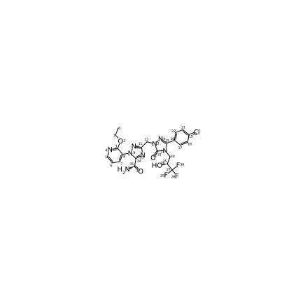 CCOc1ncccc1-n1nc(Cn2nc(-c3ccc(Cl)cc3)n(C[C@H](O)C(F)(F)F)c2=O)nc1C(N)=O